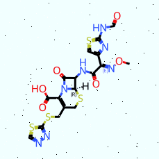 CO/N=C(/C(=O)NC1C(=O)N2C(C(=O)O)=C(CSc3nncs3)CS[C@H]12)c1csc(NC=O)n1